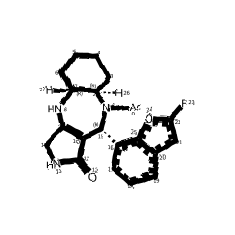 CC(=O)N1[C@@H]2CCCC[C@H]2NC2=C(C(=O)NC2)[C@H]1c1cccc2cc(F)oc12